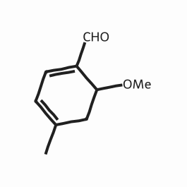 COC1CC(C)=CC=C1C=O